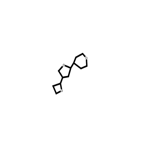 C1CC(C2CC(C3CCO3)CO2)CCO1